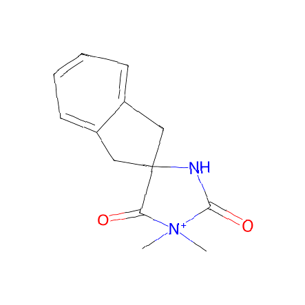 C[N+]1(C)C(=O)NC2(Cc3ccccc3C2)C1=O